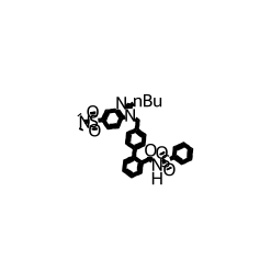 CCCCc1nc2cc(S(=O)(=O)N(C)C)ccc2n1Cc1ccc(-c2ccccc2C(=O)NS(=O)(=O)c2ccccc2)cc1